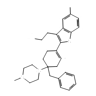 CN1CCN(C2(Cc3ccccc3)CC=C(c3[nH]c4ccc(F)cc4c3CCO)CC2)CC1